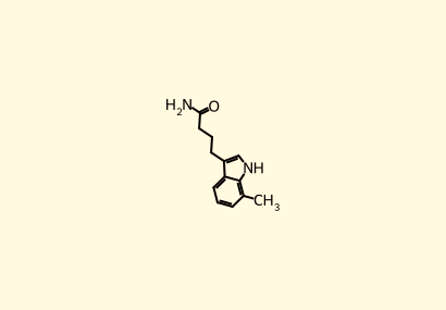 Cc1cccc2c(CCCC(N)=O)c[nH]c12